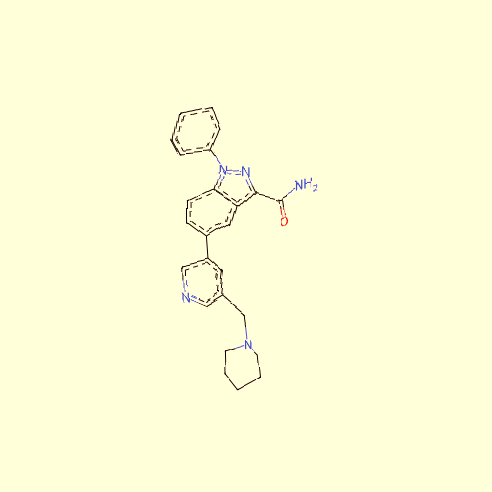 NC(=O)c1nn(-c2ccccc2)c2ccc(-c3cncc(CN4CCCCC4)c3)cc12